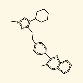 Cc1cc2ccccc2nc1-c1ccc(COc2nn(C)cc2C2CCCCC2)cc1